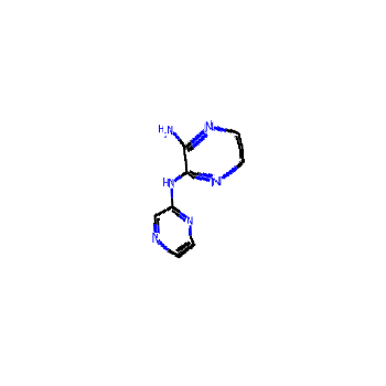 Nc1nccnc1Nc1cnccn1